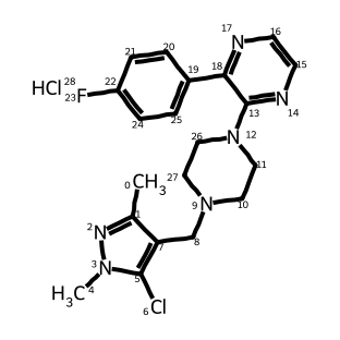 Cc1nn(C)c(Cl)c1CN1CCN(c2nccnc2-c2ccc(F)cc2)CC1.Cl